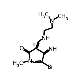 CN(C)CCN/C=C1\C(=N)C(Br)=CN(C)C1=O